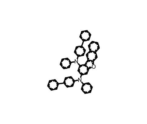 c1ccc(-c2ccc(N(c3ccccc3)c3cc(N(c4ccccc4)c4ccc(-c5ccccc5)cc4)c4c(c3)oc3cc5ccccc5cc34)cc2)cc1